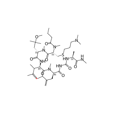 C=C(C[C@H](C(=O)NC(=O)N[C@@H](C)C(=O)NC)N(C)C(=O)[C@H](NC(=O)[C@H](CC(C)(C)OC)N(C)C(=O)[C@@H](CSCCCN(C)C)N(C)C(=O)CCC)C(C)C(=C)C)C(C)C